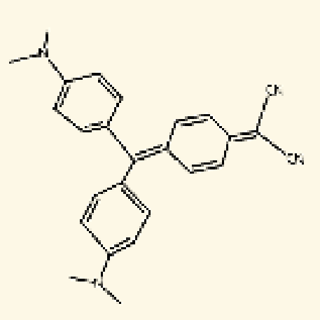 CN(C)c1ccc(C(c2ccc(N(C)C)cc2)=c2ccc(=C(C#N)C#N)cc2)cc1